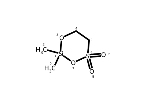 C[Si]1(C)OCCS(=O)(=O)O1